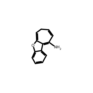 NC1=c2c(oc3ccccc23)=CCC=C1